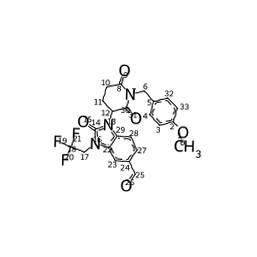 COc1ccc(CN2C(=O)CCC(n3c(=O)n(CC(F)(F)F)c4cc(C=O)ccc43)C2=O)cc1